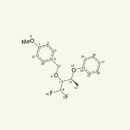 COc1ccc(COC(C(F)F)[C@H](C)Oc2ccccc2)cc1